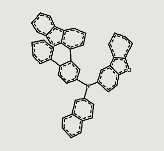 c1ccc(-c2ccc(N(c3ccc4ccccc4c3)c3ccc4oc5ccccc5c4c3)cc2-c2cccc3c2sc2ccccc23)cc1